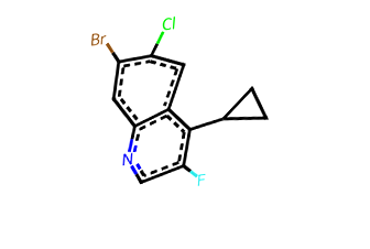 Fc1cnc2cc(Br)c(Cl)cc2c1C1CC1